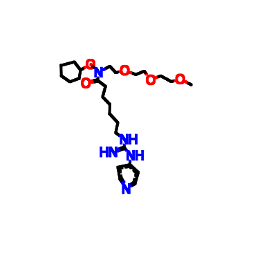 COCCOCCOCCN(OC1CCCCC1)C(=O)CCCCCCNC(=N)Nc1ccncc1